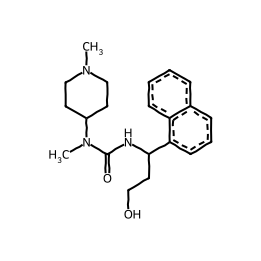 CN1CCC(N(C)C(=O)NC(CCO)c2cccc3ccccc23)CC1